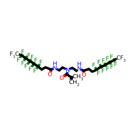 C=C(C)C(=O)N(CCNC(=O)CCC(F)(F)C(F)(F)C(F)(F)C(F)(F)C(F)(F)C(F)(F)F)CCNC(=O)CCC(F)(F)C(F)(F)C(F)(F)C(F)(F)C(F)(F)C(F)(F)F